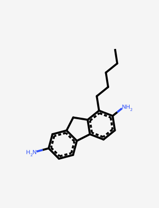 CCCCCc1c(N)ccc2c1Cc1cc(N)ccc1-2